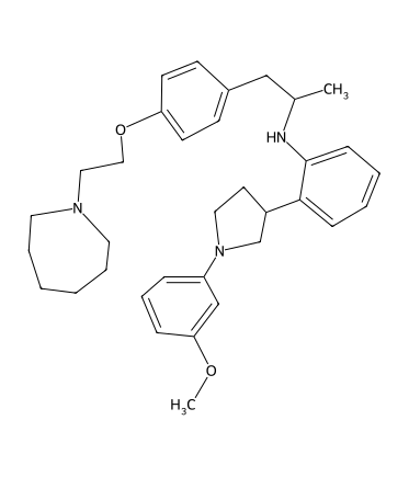 COc1cccc(N2CCC(c3ccccc3NC(C)Cc3ccc(OCCN4CCCCCC4)cc3)C2)c1